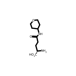 N[C@@H](CCC(=O)NC1CCOCC1)C(=O)O